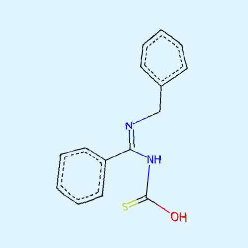 OC(=S)NC(=NCc1ccccc1)c1ccccc1